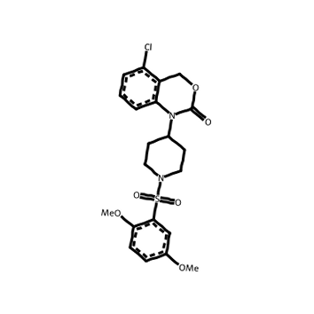 COc1ccc(OC)c(S(=O)(=O)N2CCC(N3C(=O)OCc4c(Cl)cccc43)CC2)c1